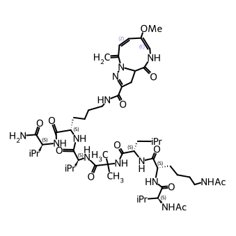 C=C1/C=C\C(OC)=C/NC(=O)C2CC(C(=O)NCCCC[C@H](NC(=O)[C@@H](NC(=O)C(C)(C)NC(=O)[C@H](CC(C)C)NC(=O)[C@H](CCCCNC(C)=O)NC(=O)[C@@H](NC(C)=O)C(C)C)C(C)C)C(=O)N[C@H](C(N)=O)C(C)C)=NN12